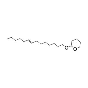 CCCCCC=CCCCCCCCOC1CCCCO1